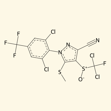 CSc1c([S+]([O-])C(F)(Cl)Cl)c(C#N)nn1-c1c(Cl)cc(C(F)(F)F)cc1Cl